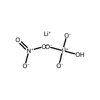 O=[N+]([O-])[O-].[Li+].[O-][I+3]([O-])([O-])O